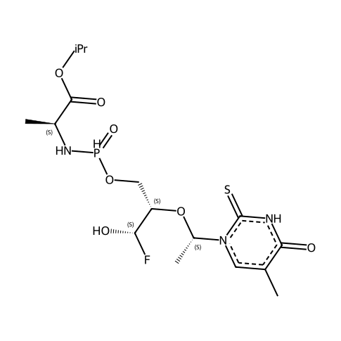 Cc1cn([C@H](C)O[C@@H](CO[PH](=O)N[C@@H](C)C(=O)OC(C)C)[C@@H](O)F)c(=S)[nH]c1=O